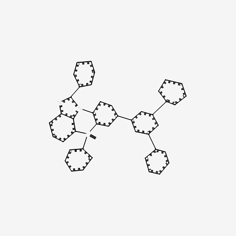 O=P1(c2ccccc2)c2cc(-c3cc(-c4ccccc4)cc(-c4ccccc4)c3)ccc2-n2c(-c3ccccc3)nc3cccc1c32